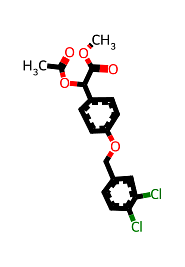 COC(=O)C(OC(C)=O)c1ccc(OCc2ccc(Cl)c(Cl)c2)cc1